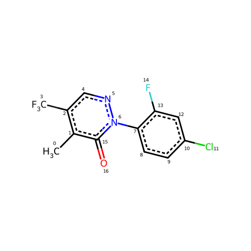 Cc1c(C(F)(F)F)cnn(-c2ccc(Cl)cc2F)c1=O